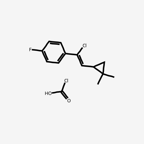 CC1(C)CC1C=C(Cl)c1ccc(F)cc1.O=C(O)Cl